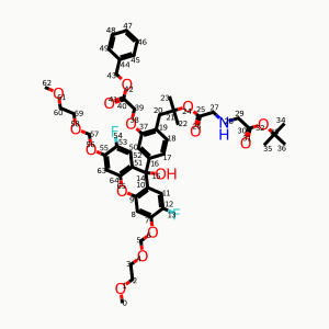 COCCOCOc1cc2c(cc1F)C(O)(c1ccc(CC(C)(C)OC(=O)CNCC(=O)OC(C)(C)C)c(OCC(=O)OCc3ccccc3)c1)c1cc(F)c(OCOCCOC)cc1O2